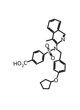 Cc1c(N(Cc2ccc(OC3CCCC3)cc2)S(=O)(=O)c2ccc(C(=O)O)cc2)ncc2ccccc12